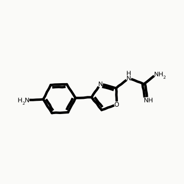 N=C(N)Nc1nc(-c2ccc(N)cc2)co1